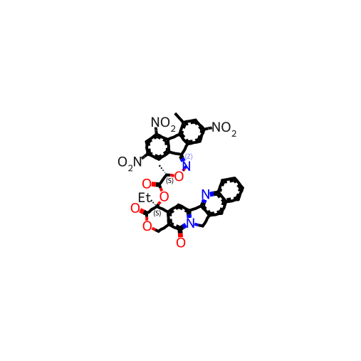 CC[C@@]1(OC(=O)[C@H](C)O/N=C2/c3cc([N+](=O)[O-])cc(C)c3-c3c2cc([N+](=O)[O-])cc3[N+](=O)[O-])C(=O)OCc2c1cc1n(c2=O)Cc2cc3ccccc3nc2-1